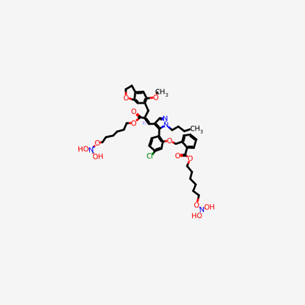 CCCCn1ncc(/C=C(\Cc2cc3c(cc2OC)CCO3)C(=O)OCCCCCCON(O)O)c1-c1ccc(Cl)cc1OCc1ccccc1C(=O)OCCCCCCON(O)O